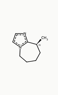 C[C@H]1CCCCn2ccnc21